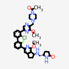 COc1nc(-c2cccc(-c3cccc(-c4cc5c(c(OC)n4)[C@@H](NC[C@@H]4CCC(=O)N4)CC5)c3F)c2Cl)cnc1CN1CCN(C(C)=O)CC1